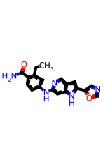 CCc1cc(Nc2cc3[nH]c(-c4cnco4)cc3cn2)ccc1C(N)=O